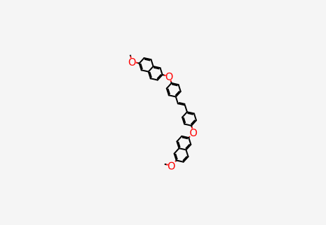 COc1ccc2cc(Oc3ccc(/C=C/c4ccc(Oc5ccc6cc(OC)ccc6c5)cc4)cc3)ccc2c1